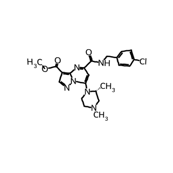 COC(=O)c1cnn2c(N3CCN(C)C[C@H]3C)cc(C(=O)NCc3ccc(Cl)cc3)nc12